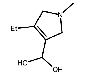 CCC1=C(C(O)O)CN(C)C1